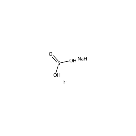 O=S(O)O.[Ir].[NaH]